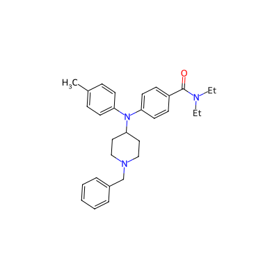 CCN(CC)C(=O)c1ccc(N(c2ccc(C)cc2)C2CCN(Cc3ccccc3)CC2)cc1